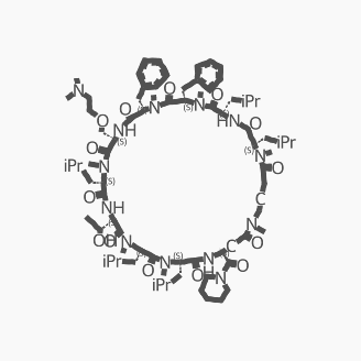 CC(C)C[C@@H]1NC(=O)[C@H](CC(C)C)N(C)C(=O)CCCN(C)C(=O)C[C@@H](C(=O)N2CCCCC2)NC(=O)[C@H](CC(C)C)N(C)C(=O)[C@H](CC(C)C)N(C)C(=O)[C@H](C(C)O)NC(=O)[C@H](CC(C)C)N(C)C(=O)[C@H](COCCN(C)C)NC(=O)[C@H](Cc2ccccc2)N(C)C(=O)[C@H](Cc2ccccc2)N(C)C1=O